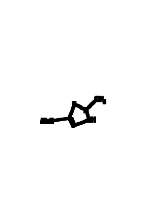 [CH2]SC1=CNN(C)S1